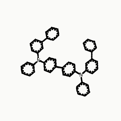 c1ccc(-c2cccc(N(c3ccccc3)c3ccc(-c4ccc(N(c5ccccc5)c5cccc(-c6ccccc6)c5)cc4)cc3)c2)cc1